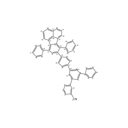 N#Cc1cccc(-c2cc(-c3ccccc3)nc(-c3ccc(-c4cc(-c5ccccc5)c5c(c4-c4ccccc4)-c4cccc6cccc-5c46)cc3)n2)c1